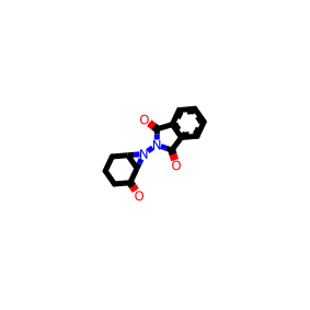 O=C1CCCC2C1N2N1C(=O)c2ccccc2C1=O